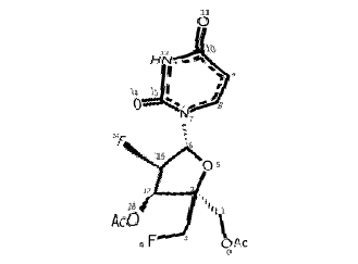 CC(=O)OC[C@@]1(CF)O[C@@H](n2ccc(=O)[nH]c2=O)[C@H](F)[C@@H]1OC(C)=O